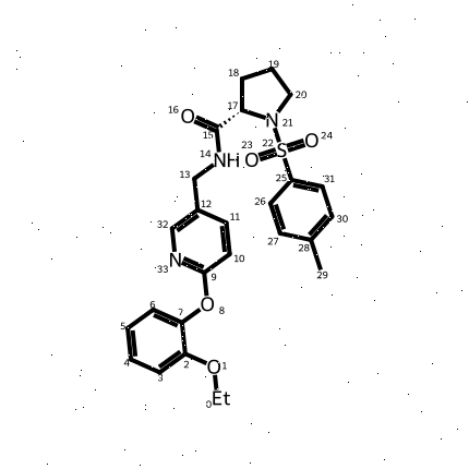 CCOc1ccccc1Oc1ccc(CNC(=O)[C@@H]2CCCN2S(=O)(=O)c2ccc(C)cc2)cn1